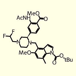 COC(=O)c1ccc([C@@H]2CN(CC(F)F)CCN2Cc2c(OC)cc(C)c3c2ccn3C(=O)OC(C)(C)C)cc1NC(C)=O